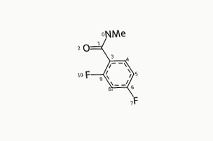 CNC(=O)c1ccc(F)[c]c1F